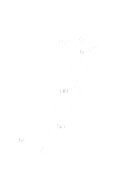 CN(c1ccc(C(=O)NC2CCC(Nc3ccc(C#N)c(C(F)(F)F)c3)CC2)cc1)S(C)(=O)=O